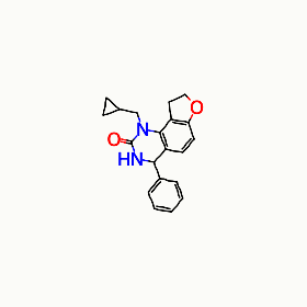 O=C1NC(c2ccccc2)c2ccc3c(c2N1CC1CC1)CCO3